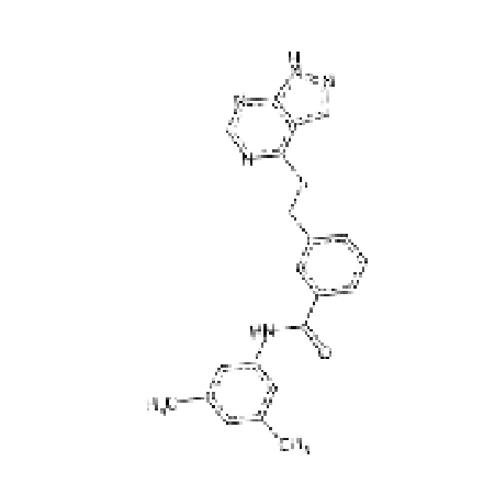 Cc1cc(C)cc(NC(=O)c2cccc(CSc3ncnc4[nH]ncc34)c2)c1